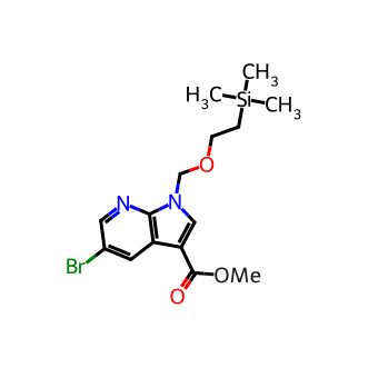 COC(=O)c1cn(COCC[Si](C)(C)C)c2ncc(Br)cc12